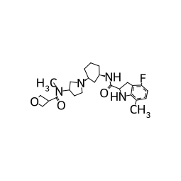 Cc1ccc(F)c2c1NC(C(=O)N[C@@H]1CCC[C@H](N3CCC(N(C)C(=O)C4COC4)C3)C1)C2